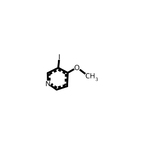 COc1ccncc1I